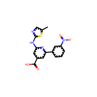 Cc1cnc(Nc2cc(C(=O)O)cc(-c3cccc([N+](=O)[O-])c3)n2)s1